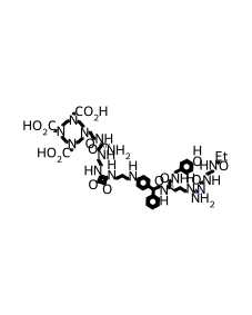 CCC(=O)NCCNC(=O)/N=C(/N)NCCC[C@@H](NC(=O)C(c1ccccc1)c1ccc(NCCCNc2c(NCCNC(=O)[C@@H](CN)NC(=O)CN3CCN(CC(=O)O)CCN(CC(=O)O)CCN(CC(=O)O)CC3)c(=O)c2=O)cc1)C(=O)NCc1ccc(O)cc1